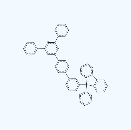 c1ccc(-c2cc(-c3ccc(-c4cccc(C5(c6ccccc6)c6ccccc6-c6ccccc65)c4)cc3)nc(-c3ccccc3)n2)cc1